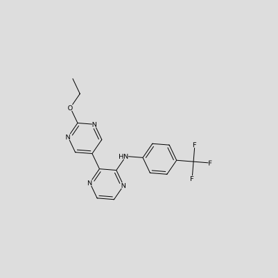 CCOc1ncc(-c2nccnc2Nc2ccc(C(F)(F)F)cc2)cn1